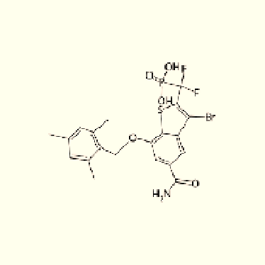 Cc1cc(C)c(COc2cc(C(N)=O)cc3c(Br)c(C(F)(F)P(=O)(O)O)sc23)c(C)c1